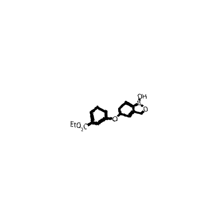 CCOC(=O)C1=CCCC(OC2C=C3COB(O)C3=CC2)=C1